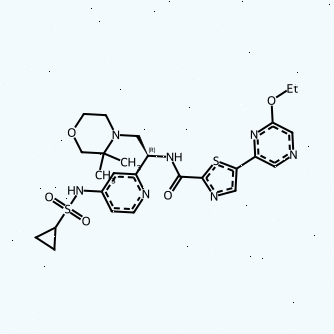 CCOc1cncc(-c2cnc(C(=O)N[C@H](CN3CCOCC3(C)C)c3cc(NS(=O)(=O)C4CC4)ccn3)s2)n1